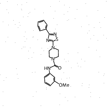 COc1cccc(NC(=O)N2CCN(c3nc(-c4ccccc4)ns3)CC2)c1